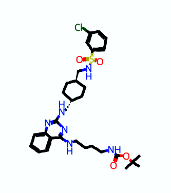 CC(C)(C)OC(=O)NCCCCNc1nc(NC[C@H]2CC[C@H](CNS(=O)(=O)c3cccc(Cl)c3)CC2)nc2ccccc12